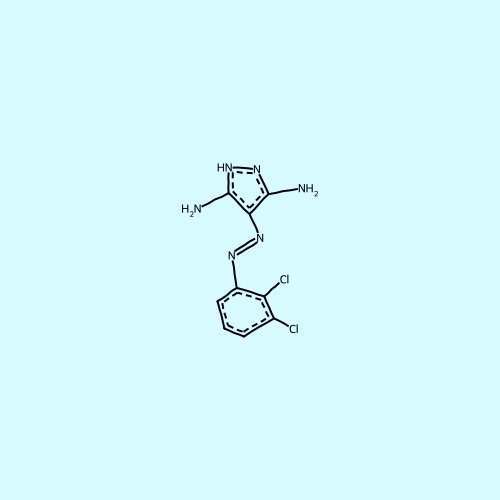 Nc1n[nH]c(N)c1N=Nc1cccc(Cl)c1Cl